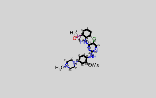 CCCP(C)(=O)c1ccccc1Nc1nc(Nc2ccc(N3CCN(C)CC3)cc2OC)ncc1Cl